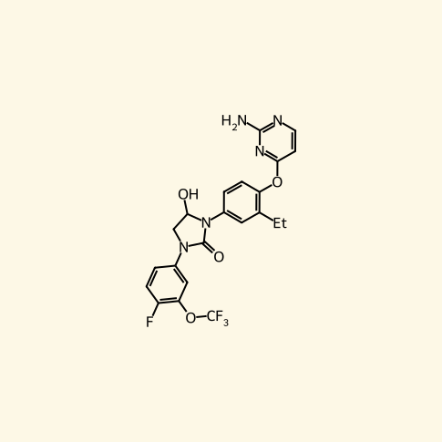 CCc1cc(N2C(=O)N(c3ccc(F)c(OC(F)(F)F)c3)CC2O)ccc1Oc1ccnc(N)n1